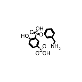 NCc1ccccc1.O=S(=O)(O)c1ccc(O)c(S(=O)(=O)O)c1